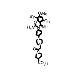 COc1cc(O)c(C(=N)N(C(N)=O)c2ccc(N3CCN(CC(=O)N4CCC(C(=O)O)CC4)CC3)cc2)cc1C(C)C